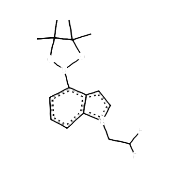 CC1(C)OB(c2cccc3c2ccn3CC(F)F)OC1(C)C